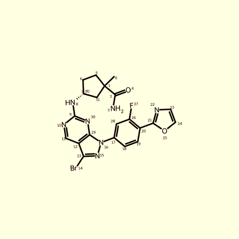 CC1(C(N)=O)CC[C@@H](Nc2ncc3c(Br)nn(-c4ccc(-c5ncco5)c(F)c4)c3n2)C1